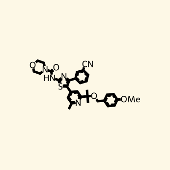 COc1ccc(COC(C)(C)c2cc(-c3sc(NC(=O)N4CCOCC4)nc3-c3cccc(C#N)c3)cc(C)n2)cc1